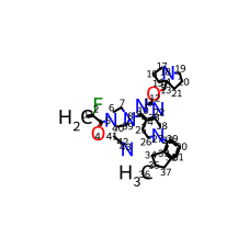 C=C(F)C(=O)N1CCN(c2nc(OCC34CCCN3CCC4)nc3c2CCN(c2cccc4c2C[C@@H](C)C4)C3)C[C@@H]1CC#N